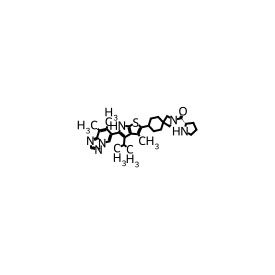 Cc1c(-c2[nH]c3sc(C4CCC5(CC4)CN(C(=O)[C@@H]4CCCN4)C5)c(C)c3c2C(C)C)cn2ncnc2c1C